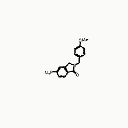 COc1ccc(CN2Cc3cc([N+](=O)[O-])ccc3C2=O)cc1